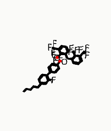 CCCCCc1ccc(-c2ccc(C(=O)OC(c3cccc(C(F)(F)F)c3C(F)(F)F)c3cccc(C(F)(F)F)c3C(F)(F)F)cc2)c(F)c1